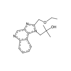 CCOCc1nc2cnc3ccccc3c2n1CC(C)(C)O